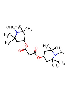 CC(=O)N1C(C)(C)CC(OC(=O)CC(=O)OC2CC(C)(C)N(C=O)C(C)(C)C2)CC1(C)C